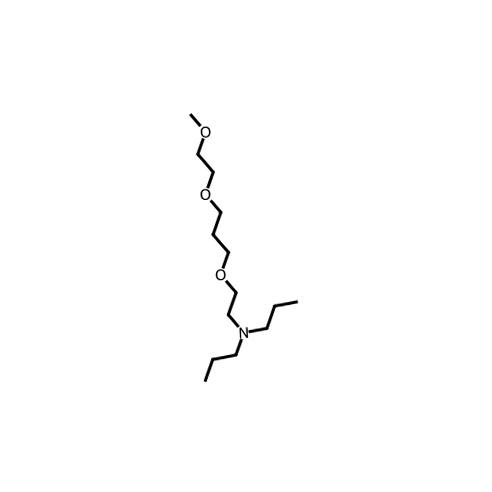 CCCN(CCC)CCOCCCOCCOC